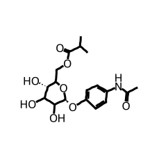 CC(=O)Nc1ccc(O[C@H]2OC(COC(=O)C(C)C)[C@@H](O)C(O)C2O)cc1